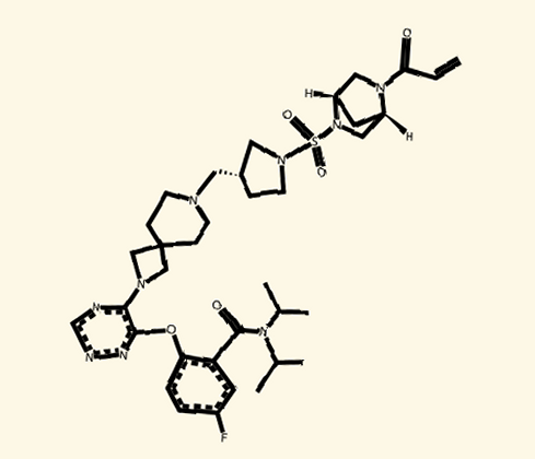 C=CC(=O)N1C[C@@H]2C[C@H]1CN2S(=O)(=O)N1CC[C@H](CN2CCC3(CC2)CN(c2ncnnc2Oc2ccc(F)cc2C(=O)N(C(C)C)C(C)C)C3)C1